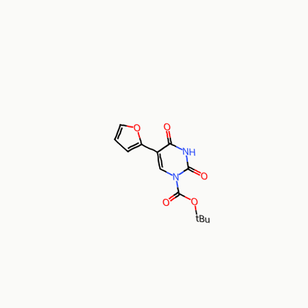 CC(C)(C)OC(=O)n1cc(-c2ccco2)c(=O)[nH]c1=O